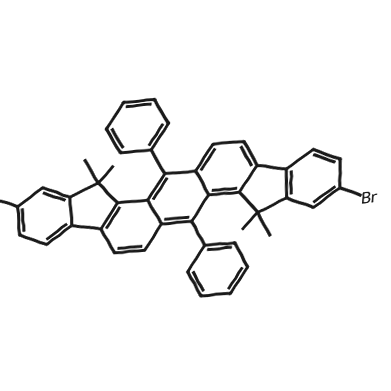 CC1(C)c2cc(Br)ccc2-c2ccc3c(-c4ccccc4)c4c5c(ccc4c(-c4ccccc4)c3c21)-c1ccc(Br)cc1C5(C)C